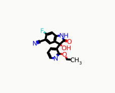 CCOc1ncccc1C1(O)C(=O)Nc2cc(F)c(C#N)cc21